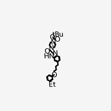 CCc1cccc(OCCCCc2ccc3nc(C(=O)N4CCN(C(=O)OC(C)(C)C)CC4)[nH]c3c2)c1